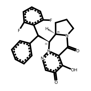 O=C1c2c(O)c(=O)cnn2[C@@H](C(c2ccccc2)c2c(F)cccc2F)[C@H]2CCCN12